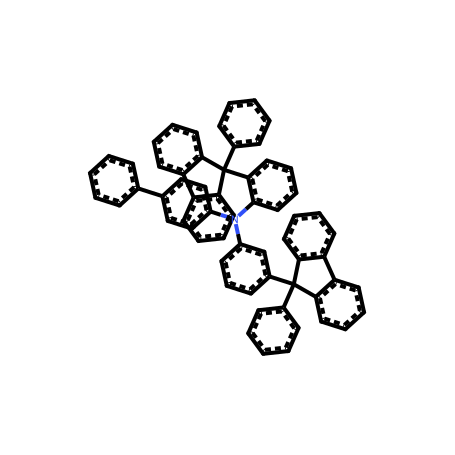 c1ccc(-c2ccc(N(c3cccc(C4(c5ccccc5)c5ccccc5-c5ccccc54)c3)c3ccccc3C3(c4ccccc4)c4ccccc4-c4ccccc43)cc2)cc1